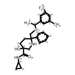 Cc1cc(C(C)OCC2(c3ccccc3)CCC(O)(C(=O)NC3CC3)CN2)cc(C(F)(F)F)c1